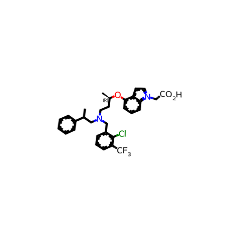 CC(CN(CC[C@@H](C)Oc1cccc2c1ccn2CC(=O)O)Cc1cccc(C(F)(F)F)c1Cl)c1ccccc1